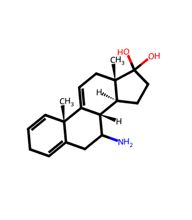 C[C@]12C=CCC=C1CC(N)[C@@H]1C2=CC[C@@]2(C)[C@H]1CCC2(O)O